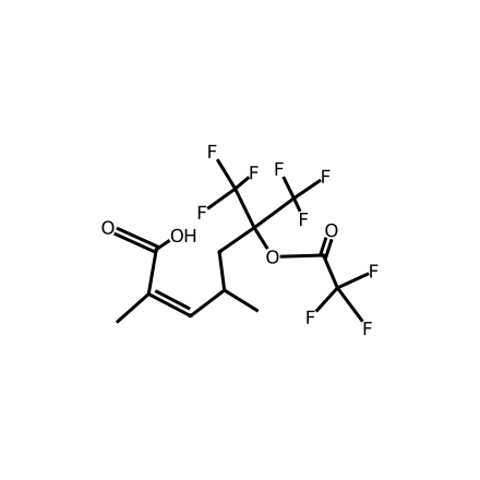 CC(=CC(C)CC(OC(=O)C(F)(F)F)(C(F)(F)F)C(F)(F)F)C(=O)O